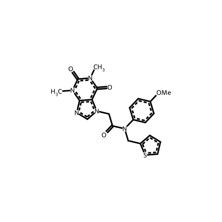 COc1ccc(N(Cc2cccs2)C(=O)Cn2cnc3c2c(=O)n(C)c(=O)n3C)cc1